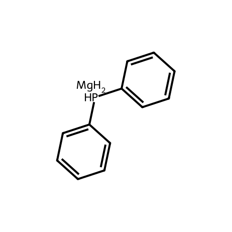 [MgH2].c1ccc(Pc2ccccc2)cc1